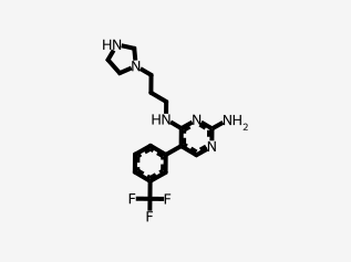 Nc1ncc(-c2cccc(C(F)(F)F)c2)c(NCCCN2CCNC2)n1